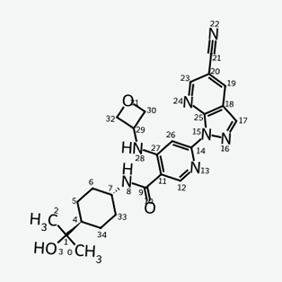 CC(C)(O)[C@H]1CC[C@H](NC(=O)c2cnc(-n3ncc4cc(C#N)cnc43)cc2NC2COC2)CC1